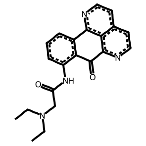 CCN(CC)CC(=O)Nc1cccc2c1C(=O)c1nccc3ccnc-2c13